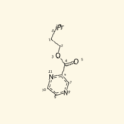 CC(C)CCOC(=O)c1cnccn1